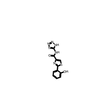 O=C(Nc1nnn[nH]1)c1csc(-c2ccccc2O)n1